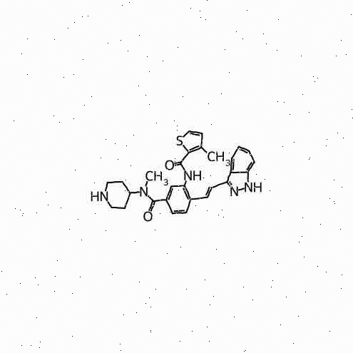 Cc1ccsc1C(=O)Nc1cc(C(=O)N(C)C2CCNCC2)ccc1C=Cc1n[nH]c2ccccc12